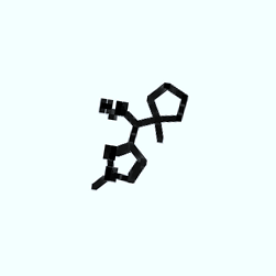 Cn1ccc(C(N)C2(C)CCCC2)n1